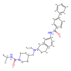 CCN(CC1CCN(C(=O)NC(C)C)CC1)C1CCc2ccc(NC(=O)c3ccc(-c4ccccc4)cc3)cc2C1